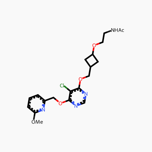 COc1cccc(COc2ncnc(OCC3CC(OCCNC(C)=O)C3)c2Cl)n1